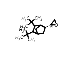 CC(C)(C)C1C2CC(C([C@@H]3CO3)C2)C1C(C)(C)C